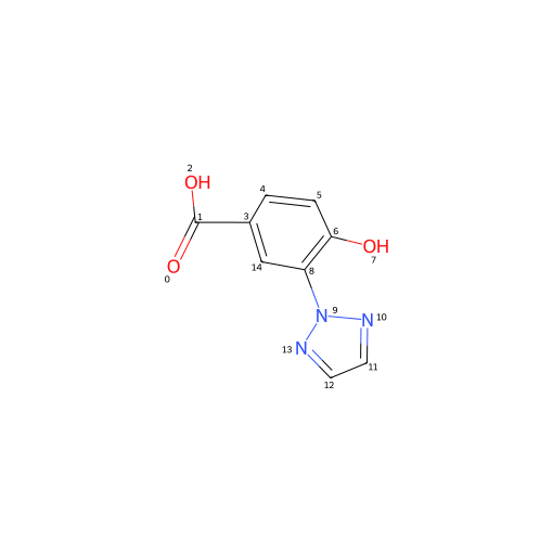 O=C(O)c1ccc(O)c(-n2nccn2)c1